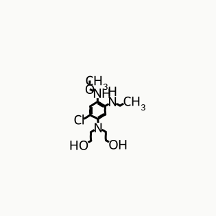 CCNc1cc(N(CCO)CCO)c(Cl)cc1NOC